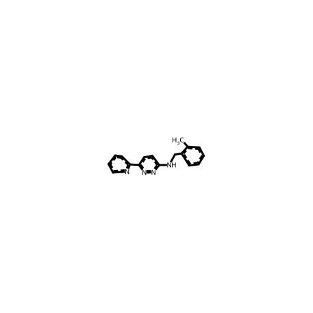 Cc1ccccc1CNc1ccc(-c2ccccn2)nn1